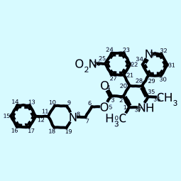 CC1=C(C(=O)OCCN2CCC(c3ccccc3)CC2)C(c2cccc([N+](=O)[O-])c2)C(c2cccnc2)=C(C)N1